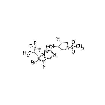 CC(c1c(Br)c(F)c2cnc(N[C@@H]3CCN(S(C)(=O)=O)C[C@H]3F)nn12)C(F)(F)F